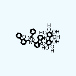 Oc1c(O)c(O)c2c(c1O)c1c(O)c(O)c(O)c(O)c1n2-c1cccc2c1sc1cccc(-c3nc(-c4ccccc4)nc(-c4cccc5c4oc4ccccc45)n3)c12